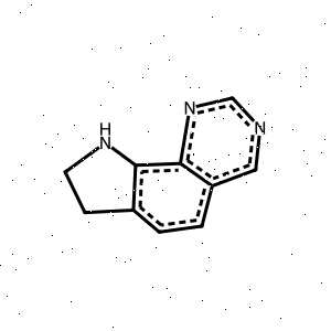 c1ncc2ccc3c(c2n1)NCC3